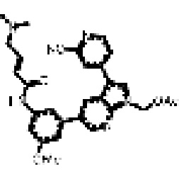 COc1cc(NC(=O)C=CCN(C)C)cc(-c2cnc3c(c2)c(-c2ccnc(C#N)c2)cn3COC(C)=O)c1